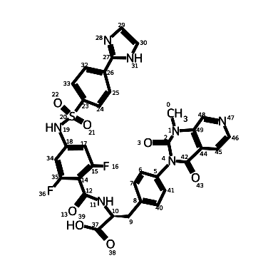 Cn1c(=O)n(-c2ccc(C[C@H](NC(=O)c3c(F)cc(NS(=O)(=O)c4ccc(-c5ncc[nH]5)cc4)cc3F)C(=O)O)cc2)c(=O)c2ccncc21